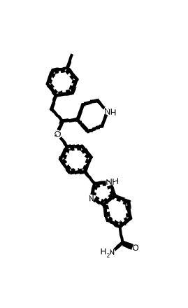 Cc1ccc(CC(Oc2ccc(-c3nc4cc(C(N)=O)ccc4[nH]3)cc2)C2CCNCC2)cc1